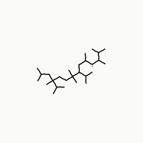 CC(C)CC(C)(CCC(C)(C)C(CC(C)[CH]C(C)C(C)C)C(C)C)C(C)C